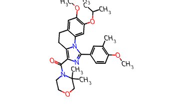 COc1ccc(-c2nc(C(=O)N3CCOCC3(C)C)c3n2-c2cc(OC(C)C)c(OC)cc2CC3)cc1C